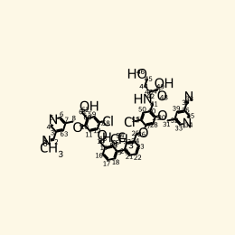 C/N=C/c1cncc(COc2cc(OCc3cccc(-c4cccc(COc5cc(OCc6cncc(C#N)c6)c(CN[C@@H](CCO)C(=O)O)cc5Cl)c4C)c3C)c(Cl)cc2CO)c1